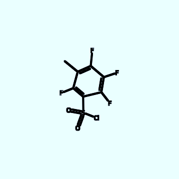 Cc1c(F)c(F)c(F)c(S(=O)(=O)Cl)c1F